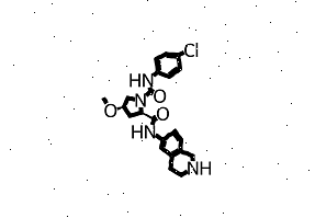 CO[C@@H]1C[C@H](C(=O)Nc2ccc3c(c2)CCNC3)N(C(=O)Nc2ccc(Cl)cc2)C1